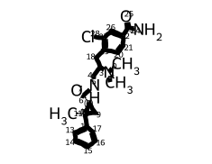 CN(C)C(CNC(=O)[C@@H]1C[C@@]1(C)c1ccccc1)Cc1ccc(C(N)=O)cc1Cl